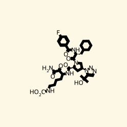 CC(C)(O)c1cnnn1[C@H]1C[C@@H](C(=O)NC(CCCCNC(=O)O)C(=O)C(N)=O)N(C(=O)[C@@H](CC2CCCCC2)NC(=O)c2ccc(F)cc2)C1